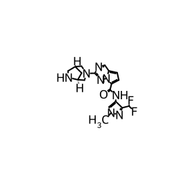 Cn1cc(NC(=O)c2ccc3cnc(N4C[C@@H]5CN[C@@H](C5)C4)nn23)c(C(F)F)n1